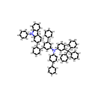 c1ccc(-c2ccc(N(c3cc(-c4ccccc4)cc(-c4ccccc4-c4ccc5c6ccccc6n(-c6ccccc6)c5c4)c3)c3ccc4c(c3)C(c3ccccc3)(c3ccccc3)c3ccccc3-4)cc2)cc1